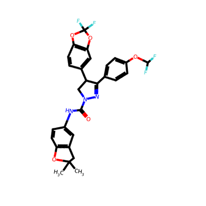 CC1(C)Cc2cc(NC(=O)N3CC(c4ccc5c(c4)OC(F)(F)O5)C(c4ccc(OC(F)F)cc4)=N3)ccc2O1